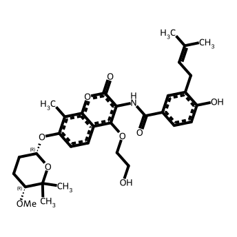 CO[C@@H]1CC[C@H](Oc2ccc3c(OCCO)c(NC(=O)c4ccc(O)c(CC=C(C)C)c4)c(=O)oc3c2C)OC1(C)C